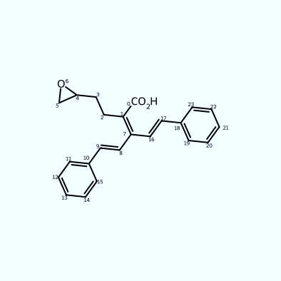 O=C(O)C(CCC1CO1)=C(C=Cc1ccccc1)C=Cc1ccccc1